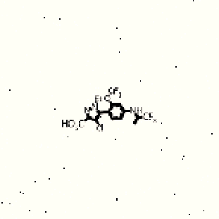 CCn1nc(C(=O)O)c(Cl)c1-c1ccc(NC(C)C(F)(F)F)cc1OC(F)(F)F